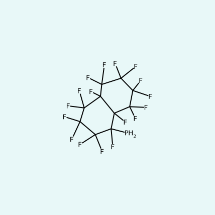 FC1(F)C(F)(F)C(F)(F)C2(F)C(F)(P)C(F)(F)C(F)(F)C(F)(F)C2(F)C1(F)F